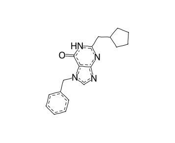 O=c1[nH]c(CC2CCCC2)nc2ncn(Cc3ccccc3)c12